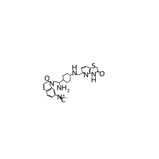 [C-]#[N+]c1ccc2ccc(=O)n(CC(N)C3CCC(NCc4ccc5c(n4)NC(=O)CS5)CC3)c2c1